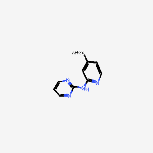 CCCCCCc1ccnc(Nc2ncccn2)c1